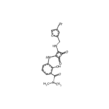 CC(C)c1coc(CNc2c(Nc3cccc(C(=O)N(C)C)c3O)c(=O)c2=O)c1